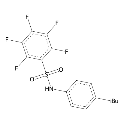 CCC(C)c1ccc(NS(=O)(=O)c2c(F)c(F)c(F)c(F)c2F)cc1